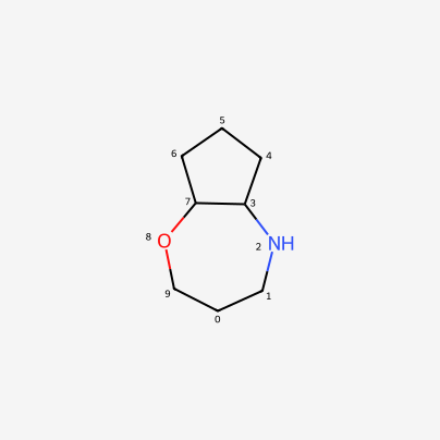 C1CNC2CCCC2OC1